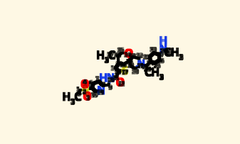 CCS(=O)(=O)c1ccc(CNC(=O)c2cc3c(s2)C2(CCN([C@@H](C)c4ccc(NC)cc4)CC2)OC[C@H]3C)nc1